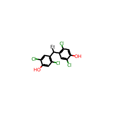 CCC(c1cc(Cl)c(O)cc1Cl)c1cc(Cl)c(O)cc1Cl